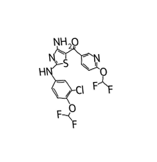 Nc1nc(Nc2ccc(OC(F)F)c(Cl)c2)sc1C(=O)c1ccc(OC(F)F)nc1